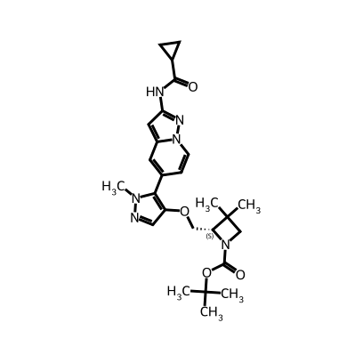 Cn1ncc(OC[C@H]2N(C(=O)OC(C)(C)C)CC2(C)C)c1-c1ccn2nc(NC(=O)C3CC3)cc2c1